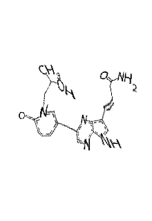 CC(O)Cn1cc(-c2cnc3[nH]cc(C=CC(N)=O)c3n2)ccc1=O